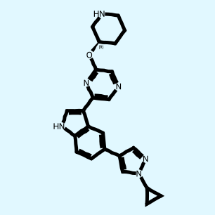 c1cc2[nH]cc(-c3cncc(O[C@@H]4CCCNC4)n3)c2cc1-c1cnn(C2CC2)c1